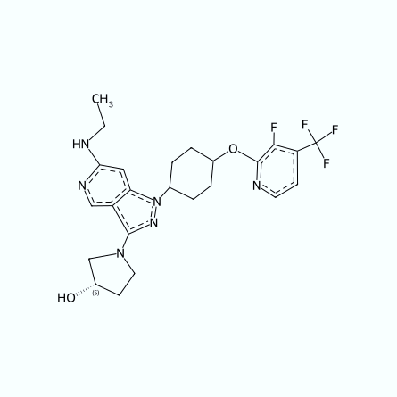 CCNc1cc2c(cn1)c(N1CC[C@H](O)C1)nn2C1CCC(Oc2nccc(C(F)(F)F)c2F)CC1